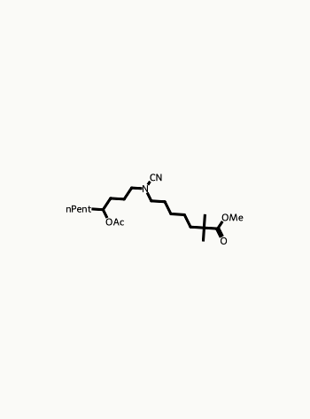 CCCCCC(CCCN(C#N)CCCCCC(C)(C)C(=O)OC)OC(C)=O